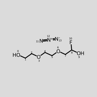 OCCOCCOCC(O)F.[N-]=[N+]=[N-]